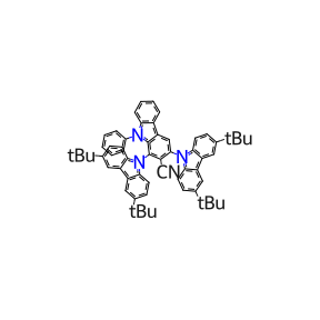 CC(C)(C)c1ccc2c(c1)c1cc(C(C)(C)C)ccc1n2-c1cc2c3ccccc3n(-c3ccccc3)c2c(-n2c3ccc(C(C)(C)C)cc3c3cc(C(C)(C)C)ccc32)c1C#N